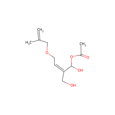 C=C(C)COCC=C(CO)C(O)OC(C)=O